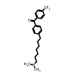 CN(C)CCCCCCCc1ccc(C(=O)c2ccc(C(F)(F)F)cc2)cc1